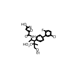 CCOCC(C)(C(=O)O)C(c1ccc(-c2cc(Cl)ccc2F)cc1)C(C)NC(=O)c1cc(O)no1